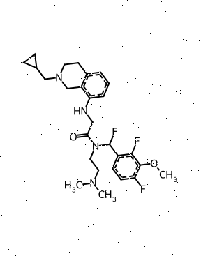 COc1c(F)ccc(C(F)N(CCN(C)C)C(=O)CNc2cccc3c2CN(CC2CC2)CC3)c1F